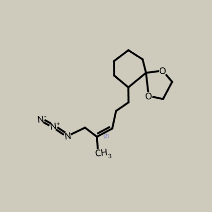 C/C(=C/CCC1CCCCC12OCCO2)CN=[N+]=[N-]